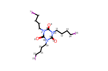 O=c1n(CCCCI)c(=O)n(CCCCI)c(=O)n1CCCCI